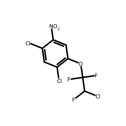 O=[N+]([O-])c1cc(OC(F)(F)C(F)Cl)c(Cl)cc1Cl